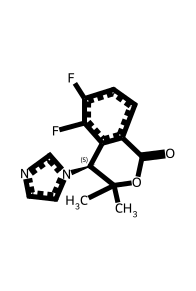 CC1(C)OC(=O)c2ccc(F)c(F)c2[C@@H]1n1ccnc1